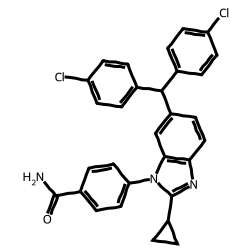 NC(=O)c1ccc(-n2c(C3CC3)nc3ccc(C(c4ccc(Cl)cc4)c4ccc(Cl)cc4)cc32)cc1